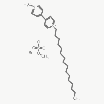 CCCCCCCCCCCCCCCC[n+]1ccc(-c2cc[n+](C)cc2)cc1.COS(=O)(=O)[O-].[Br-]